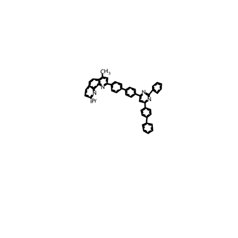 Cc1cc(-c2ccc(-c3ccc(-c4cc(-c5ccc(-c6ccccc6)cc5)nc(-c5ccccc5)n4)cc3)cc2)nc2c1ccc1ccc(C(C)C)nc12